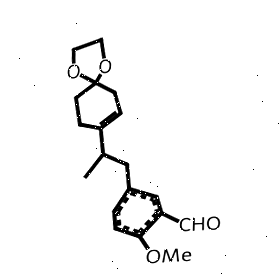 COc1ccc(CC(C)C2=CCC3(CC2)OCCO3)cc1C=O